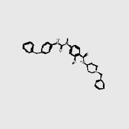 COc1cc(N(C)C(=O)Nc2ccc(Cc3ccccc3)cc2)ccc1C(=O)NC1CCN(Cc2ccccc2)CC1